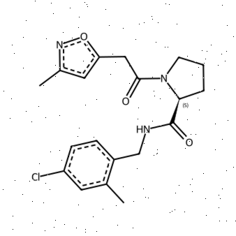 Cc1cc(CC(=O)N2CCC[C@H]2C(=O)NCc2ccc(Cl)cc2C)on1